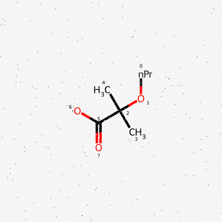 CCCOC(C)(C)C([O])=O